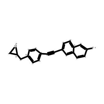 Fc1ccc2cc(C#Cc3ccc(CC4CO4)cc3)ccc2c1